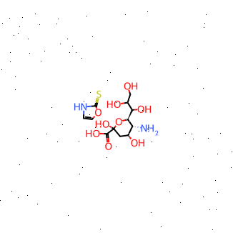 N[C@@H]1[C@@H](O)CC(O)(C(=O)O)O[C@H]1C(O)C(O)CO.S=c1[nH]cco1